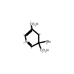 CC(C)(C)C1(C(=O)O)C=NC=C(C(=O)O)C1